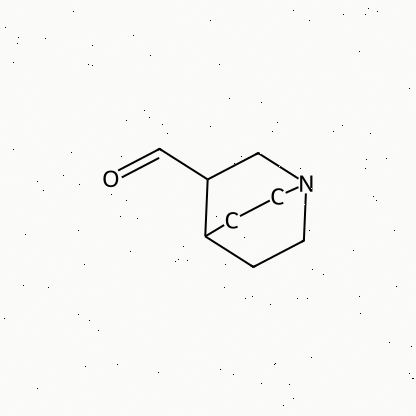 O=CC1CN2CCC1CC2